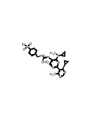 CCS(=O)(=O)c1ccc(CN/C(C=O)=N/c2cnc(-c3c(C)ncnc3C3CC3)nc2N(C)C2CC2)cc1